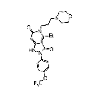 CCc1c2c(=O)n(-c3ccc(OC(F)(F)F)cc3)[nH]c2cc(=O)n1CCCN1CCOCC1